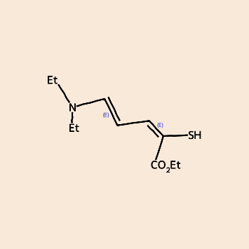 CCOC(=O)/C(S)=C\C=C\N(CC)CC